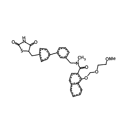 COCCOCOc1c(C(=O)N(C)Cc2cccc(-c3ccc(CC4SC(=O)NC4=O)cc3)c2)ccc2ccccc12